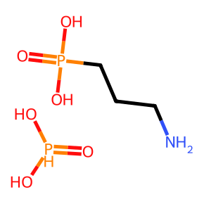 NCCCP(=O)(O)O.O=[PH](O)O